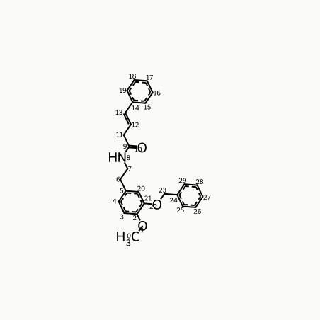 COc1ccc(CCNC(=O)C/C=C/c2ccccc2)cc1OCc1ccccc1